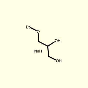 CCOCC(O)CO.[NaH]